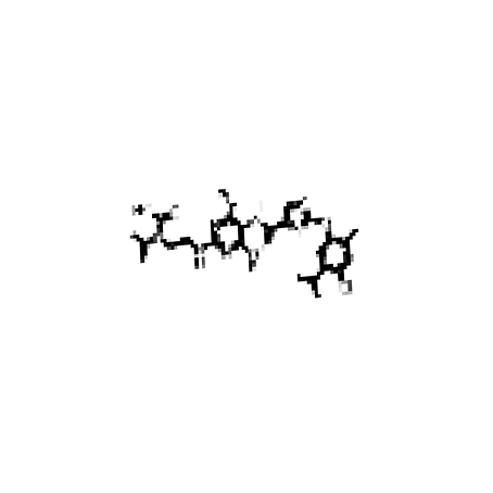 COc1nc(NCCN(C(=O)O)C(C)C)nc(OC)c1NC(=O)c1csc(Oc2cc(C(C)C)c(Cl)cc2C)n1